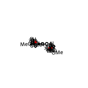 [2H]C([2H])([2H])C([2H])(C([2H])([2H])[2H])[C@@]([2H])(NC(=O)OC)C(=O)N1CCC[C@H]1c1ncc(-c2ccc([C@H]3CC[C@H](c4cnc([C@@H]5CCCN5C(=O)[C@]([2H])(NC(=O)OC)C([2H])(C([2H])([2H])[2H])C([2H])([2H])[2H])[nH]4)CC3)cc2)[nH]1